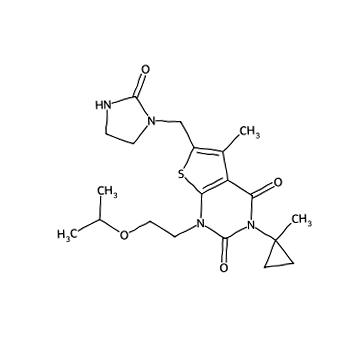 Cc1c(CN2CCNC2=O)sc2c1c(=O)n(C1(C)CC1)c(=O)n2CCOC(C)C